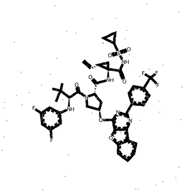 C=C[C@@H]1C[C@]1(NC(=O)[C@@H]1C[C@@H](Oc2nc(-c3ccc(C(F)(F)F)cc3)nc3c2oc2ccccc23)CN1C(=O)[C@@H](Nc1cc(F)cc(F)c1)C(C)(C)C)C(=O)NS(=O)(=O)C1CC1